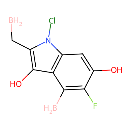 BCc1c(O)c2c(B)c(F)c(O)cc2n1Cl